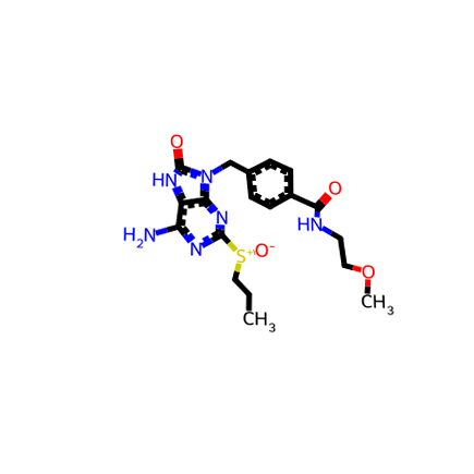 CCC[S+]([O-])c1nc(N)c2[nH]c(=O)n(Cc3ccc(C(=O)NCCOC)cc3)c2n1